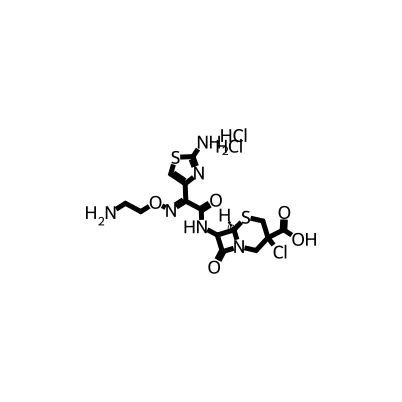 Cl.Cl.NCCON=C(C(=O)NC1C(=O)N2CC(Cl)(C(=O)O)CS[C@H]12)c1csc(N)n1